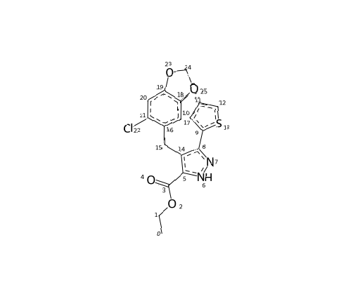 CCOC(=O)c1[nH]nc(-c2cccs2)c1Cc1cc2c(cc1Cl)OCO2